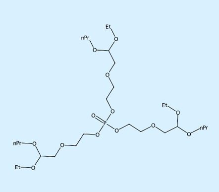 CCCOC(COCCOP(=O)(OCCOCC(OCC)OCCC)OCCOCC(OCC)OCCC)OCC